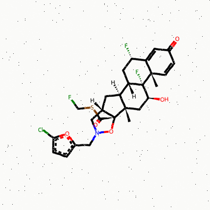 C[C@]12C=CC(=O)C=C1[C@@H](F)C[C@H]1[C@@H]3C[C@H]4CN(Cc5ccc(Cl)o5)O[C@@]4(C(=O)SCF)[C@@]3(C)C[C@H](O)[C@@]12F